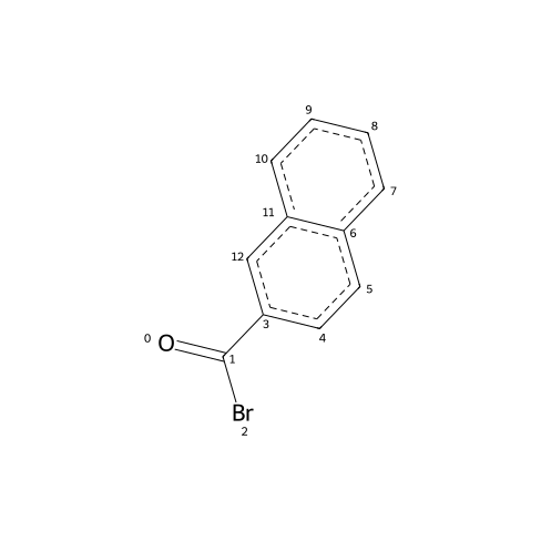 O=C(Br)c1ccc2ccccc2c1